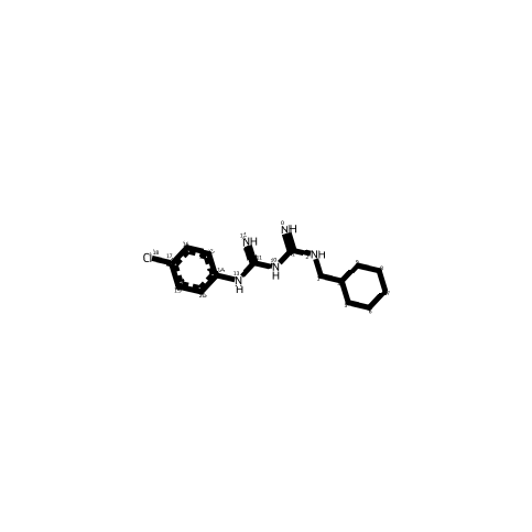 N=C(NCC1CCCCC1)NC(=N)Nc1ccc(Cl)cc1